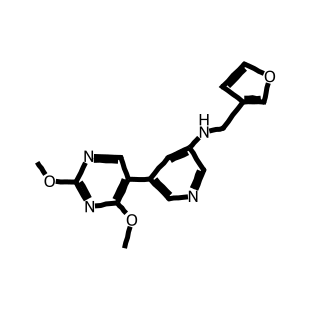 COc1ncc(-c2cncc(NCc3ccoc3)c2)c(OC)n1